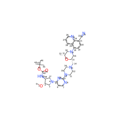 CO[C@H]1CN(c2ccnc(N3CCN(C[C@H]4CN(c5ccc(C#N)c6ncccc56)C[C@@H](C)O4)CC3)n2)C[C@@H]1NC(=O)OC(C)(C)C